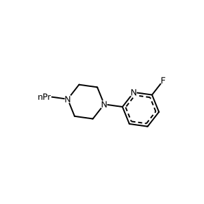 CCCN1CCN(c2cccc(F)n2)CC1